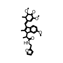 COC1=CC(=CC2=C(C)C(C(C)C(=O)NCc3ccco3)c3cc(OC)ccc32)C(C)C(OC)C1=O